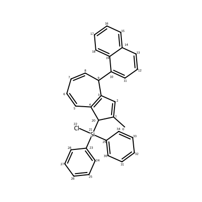 CC1=CC2=C(C=CC=CC2c2cccc3ccccc23)C1[Si](Cl)(c1ccccc1)c1ccccc1